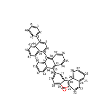 c1ccc(-c2ccc(-c3c4ccccc4c(-c4ccc5oc6ccc7ccccc7c6c5c4)c4ccccc34)c3ccccc23)cc1